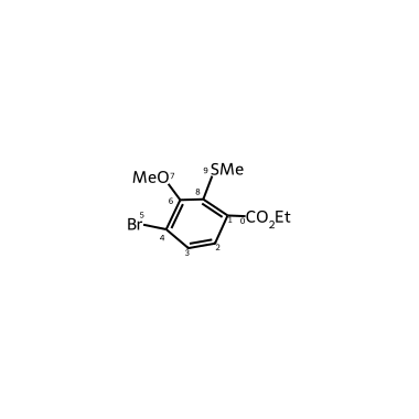 CCOC(=O)c1ccc(Br)c(OC)c1SC